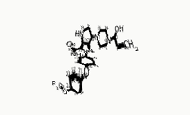 C=CC(O)N1CCN([C@@H]2CCNc3c2nn(-c2ccc(Oc4ccc(OC(F)(F)F)cc4)cc2)c3C(N)=O)CC1